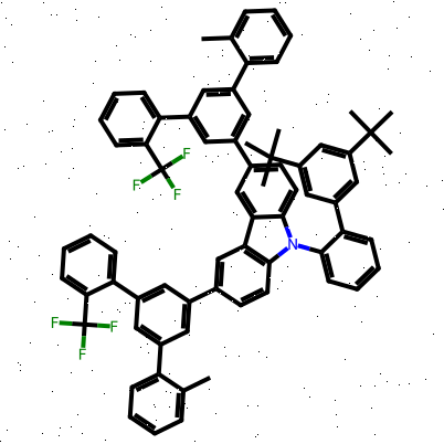 Cc1ccccc1-c1cc(-c2ccc3c(c2)c2cc(-c4cc(-c5ccccc5C)cc(-c5ccccc5C(F)(F)F)c4)ccc2n3-c2ccccc2-c2cc(C(C)(C)C)cc(C(C)(C)C)c2)cc(-c2ccccc2C(F)(F)F)c1